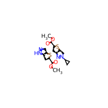 COC(=O)c1cc2[nH]ncc2s1.COC(=O)c1cc2nn(C3CC3)cc2s1